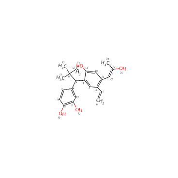 C=Cc1cc(C(c2ccc(O)c(O)c2)C(C)(C)C)c(O)cc1/C=C(\C)O